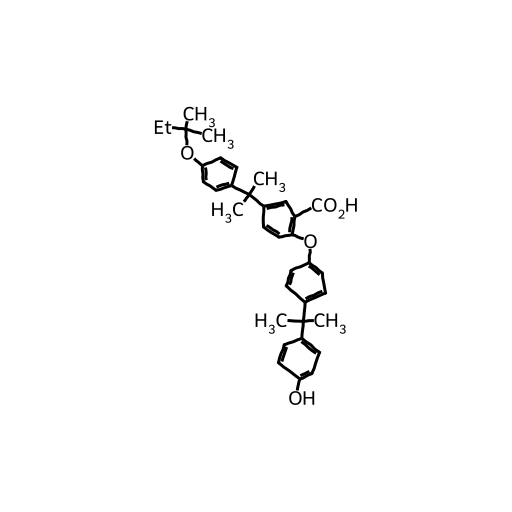 CCC(C)(C)Oc1ccc(C(C)(C)c2ccc(Oc3ccc(C(C)(C)c4ccc(O)cc4)cc3)c(C(=O)O)c2)cc1